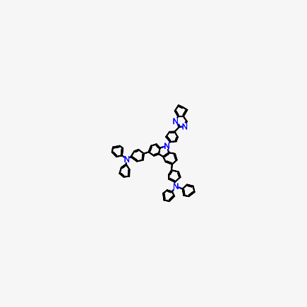 c1ccc(N(c2ccccc2)c2ccc(-c3ccc4c(c3)c3cc(-c5ccc(N(c6ccccc6)c6ccccc6)cc5)ccc3n4-c3ccc(-c4ncc5ccccc5n4)cc3)cc2)cc1